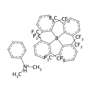 C[NH+](C)c1ccccc1.FC(F)(F)c1cccc(C(F)(F)F)c1[B-](c1c(C(F)(F)F)cccc1C(F)(F)F)(c1c(C(F)(F)F)cccc1C(F)(F)F)c1c(C(F)(F)F)cccc1C(F)(F)F